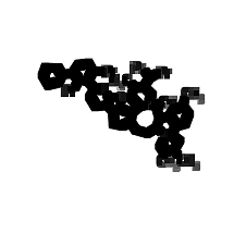 C=C1C2c3cc(C)ccc3-c3cc(C)c(C)c[n+]3C2CCc2ccc3c(oc4nc(-c5c(C(C)C)ccc(-c6ccccc6)c5C(C)C)ccc43)c2-c2cc(C)c(C(C(C)C)C(C)C)c[n+]21